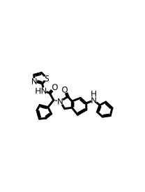 O=C(Nc1nccs1)[C@@H](c1ccccc1)N1Cc2ccc(Nc3ccccc3)cc2C1=O